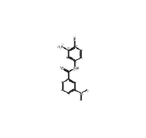 CN(C)c1cccc(C(=O)Nc2ccc(F)c([N+](=O)[O-])c2)c1